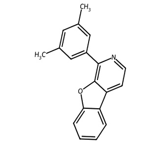 Cc1cc(C)cc(-c2nccc3c2oc2ccccc23)c1